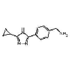 NCc1c[c]c(-c2nnc(C3CC3)[nH]2)cc1